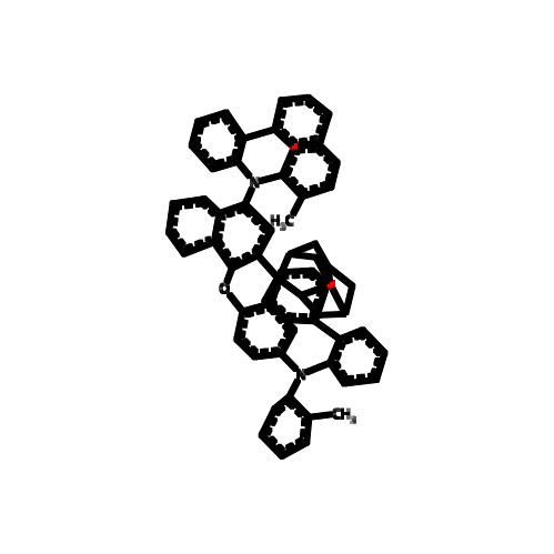 Cc1ccccc1N(c1ccc2c(c1)C1(c3cc(N(c4ccccc4C)c4ccccc4-c4ccccc4)c4ccccc4c3O2)C2CC3CC(C2)CC1C3)c1ccccc1-c1ccccc1